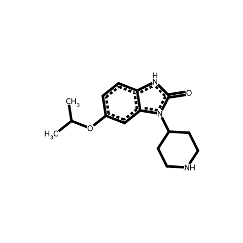 CC(C)Oc1ccc2[nH]c(=O)n(C3CCNCC3)c2c1